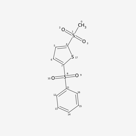 CS(=O)(=O)c1ccc(S(=O)(=O)c2ccccc2)s1